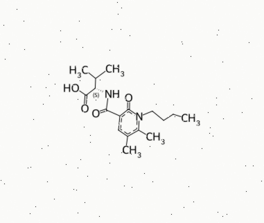 CCCCn1c(C)c(C)cc(C(=O)N[C@H](C(=O)O)C(C)C)c1=O